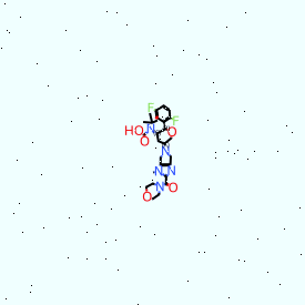 Cn1c(C(=O)N2CCOCC2)nc2c1CN([C@H]1CO[C@H](c3cc(F)ccc3F)[C@@H](N(C(=O)O)C(C)(C)C)C1)C2